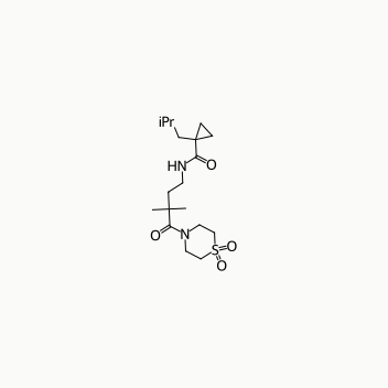 CC(C)CC1(C(=O)NCCC(C)(C)C(=O)N2CCS(=O)(=O)CC2)CC1